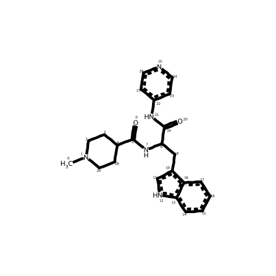 CN1CCC(C(=O)NC(Cc2c[nH]c3ccccc23)C(=O)Nc2ccncc2)CC1